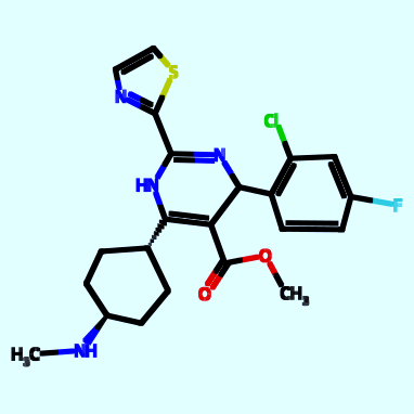 CN[C@H]1CC[C@H](C2=C(C(=O)OC)C(c3ccc(F)cc3Cl)N=C(c3nccs3)N2)CC1